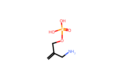 C=C(CN)COP(=O)(O)O